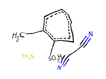 Cc1ccccc1S(=O)(=O)O.N#CC#N.S